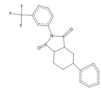 O=C1C2CCC(c3ccccc3)CC2C(=O)N1c1cccc(C(F)(F)F)c1